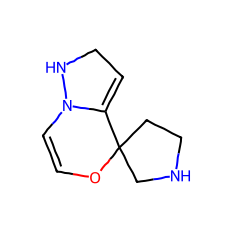 C1=CN2NCC=C2C2(CCNC2)O1